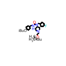 CC(C)COc1ccc(CNC(=O)N(Cc2ccc(F)cc2)C2CCN(CCO[Si](C)(C)C(C)(C)C)CC2)cc1